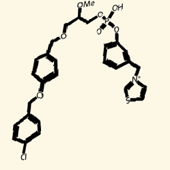 COC(COCc1ccc(OCc2ccc(Cl)cc2)cc1)COP(=O)(O)Oc1cccc(C[n+]2ccsc2)c1